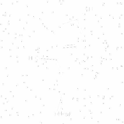 CCCCCCCCOC=C(C)c1ccc(C)cc1